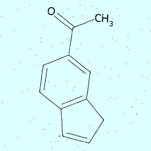 CC(=O)c1ccc2c(c1)CC=[C]2